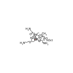 CCCCCCCCOC(=O)CC[C@@H](C)[C@H]1CC[C@H]2[C@@H]3[C@H](OC(=O)CCN)C[C@@H]4C[C@H](OCCCN)CC[C@]4(C)[C@H]3C[C@H](OC(=O)CCN)[C@]12C